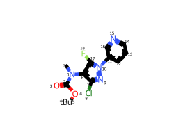 CN(C(=O)OC(C)(C)C)c1c(Cl)nn(-c2cccnc2)c1F